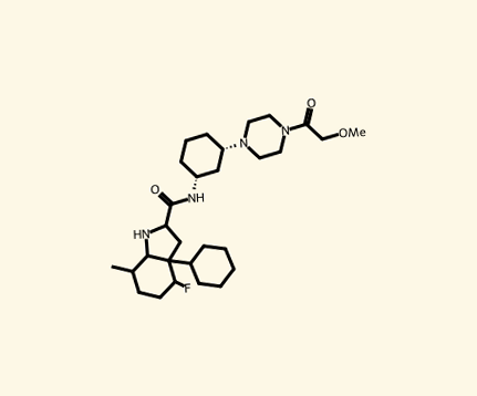 COCC(=O)N1CCN([C@H]2CCC[C@@H](NC(=O)C3CC4(C5CCCCC5)C(F)CCC(C)C4N3)C2)CC1